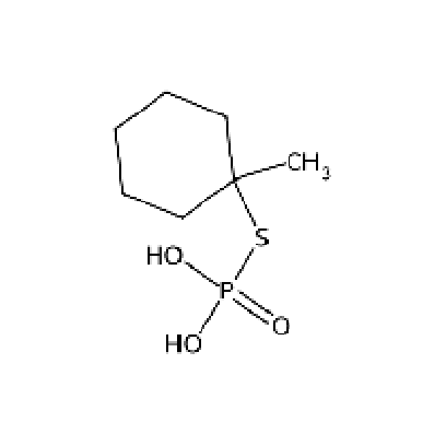 CC1(SP(=O)(O)O)CCCCC1